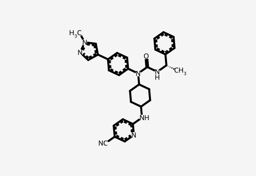 C[C@H](NC(=O)N(c1ccc(-c2cnn(C)c2)cc1)C1CCC(Nc2ccc(C#N)cn2)CC1)c1ccccc1